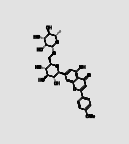 COc1ccc(-c2cc(=O)c3c(O)cc([C@@H]4O[C@H](CO[C@H]5O[C@@H](C)[C@H](O)[C@@H](O)[C@H]5O)[C@@H](O)[C@H](O)[C@H]4O)cc3o2)cc1